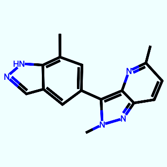 Cc1ccc2nn(C)c(-c3cc(C)c4[nH]ncc4c3)c2n1